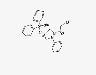 CC(C)(C)[Si](O[C@@H]1C[C@H](C(=O)CCl)N(c2ccccc2)C1)(c1ccccc1)c1ccccc1